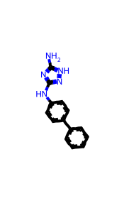 Nc1nc(Nc2ccc(-c3ccccc3)cc2)n[nH]1